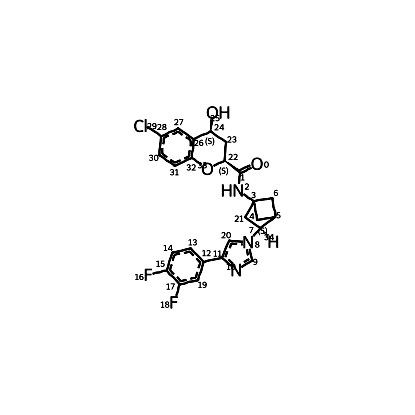 O=C(NC12CC(C1)[C@@H](n1cnc(-c3ccc(F)c(F)c3)c1)C2)[C@@H]1C[C@H](O)c2cc(Cl)ccc2O1